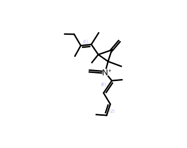 C=C1C(C)(/C(C)=C(\C)CC)C1(C)[N+](=C)/C(C)=C/C=C\C